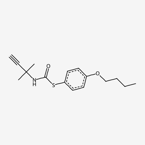 C#CC(C)(C)NC(=O)Sc1ccc(OCCCC)cc1